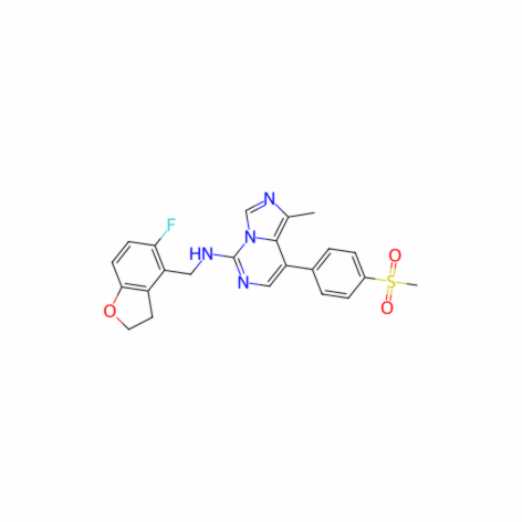 Cc1ncn2c(NCc3c(F)ccc4c3CCO4)ncc(-c3ccc(S(C)(=O)=O)cc3)c12